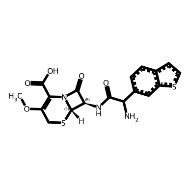 COC1=C(C(=O)O)N2C(=O)[C@@H](NC(=O)C(N)c3ccc4ccsc4c3)[C@@H]2SC1